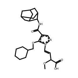 COC(/C=C/n1ncc(C(=O)NC2C3CC4CC(C3)CC2C4)c1OCC1CCCCC1)C(=O)O